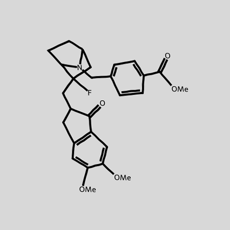 COC(=O)c1ccc(CN2C3CCC2C(F)(CC2Cc4cc(OC)c(OC)cc4C2=O)C3)cc1